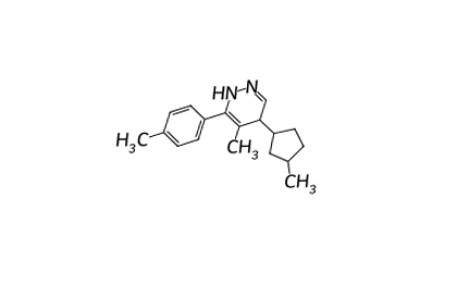 CC1=C(c2ccc(C)cc2)NN=CC1C1CCC(C)C1